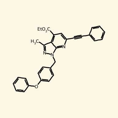 CCOC(=O)c1cc(C#Cc2ccccc2)nc2c1c(C)nn2Cc1ccc(Oc2ccccc2)cc1